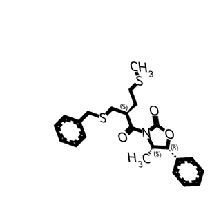 CSCC[C@H](CSCc1ccccc1)C(=O)N1C(=O)O[C@H](c2ccccc2)[C@@H]1C